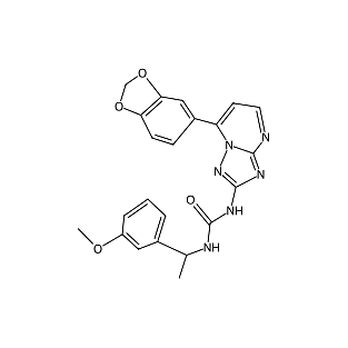 COc1cccc(C(C)NC(=O)Nc2nc3nccc(-c4ccc5c(c4)OCO5)n3n2)c1